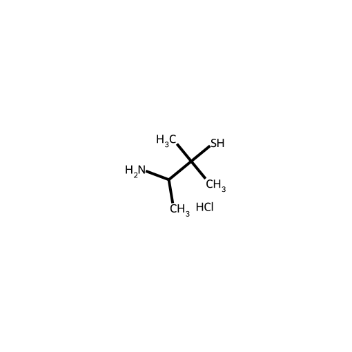 CC(N)C(C)(C)S.Cl